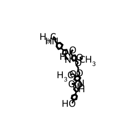 CCNc1ccc(C2=CN3C(=O)c4cc(OC)c(OCCCOc5cc6c(cc5OC)C(=O)N5C=C(c7ccc(O)cc7)C[C@H]5C=N6)cc4N=C[C@@H]3C2)cc1